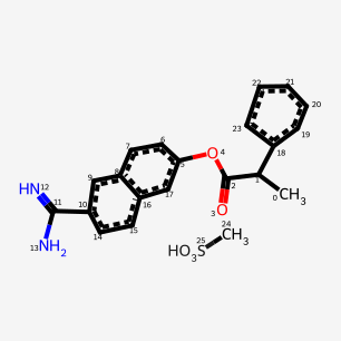 CC(C(=O)Oc1ccc2cc(C(=N)N)ccc2c1)c1ccccc1.CS(=O)(=O)O